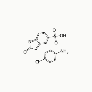 Nc1ccc(Cl)cc1.O=C1C=c2cc(S(=O)(=O)O)ccc2=N1